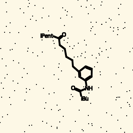 CCCC(C)C(=O)CCCCCc1cccc(NC(=O)C(C)CC)c1